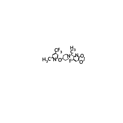 Cc1cc(C(F)(F)F)cc(OC2CCN(C(C)c3nc4c(cc3F)OCCO4)CC2)n1